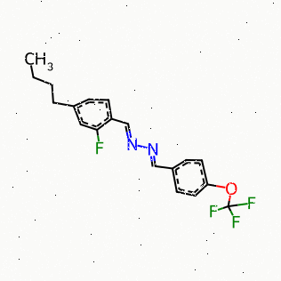 CCCCc1ccc(C=NN=Cc2ccc(OC(F)(F)F)cc2)c(F)c1